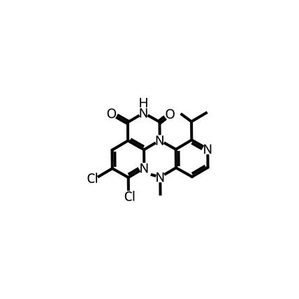 CC(C)c1nccc(N(C)C)c1-n1c(=O)[nH]c(=O)c2cc(Cl)c(Cl)nc21